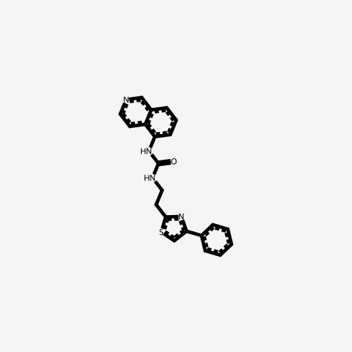 O=C(NCCc1nc(-c2ccccc2)cs1)Nc1cccc2cnccc12